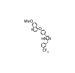 COc1ccc2c(Oc3ccc(-c4cnc(Cc5cccc(C(F)(F)F)c5)[nH]4)cc3)ccnc2c1